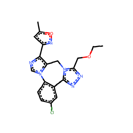 CCOCc1nnc2n1Cc1c(-c3cc(C)on3)ncn1-c1ccc(Cl)cc1-2